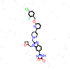 O=c1[nH]c(-c2ccc3nc(CN4CC=C(c5cccc(OCc6ccc(Cl)cc6F)n5)CC4)n(CC4CCO4)c3c2)no1